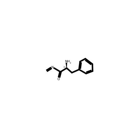 C=NC(=O)[C@@H](N)Cc1ccccc1